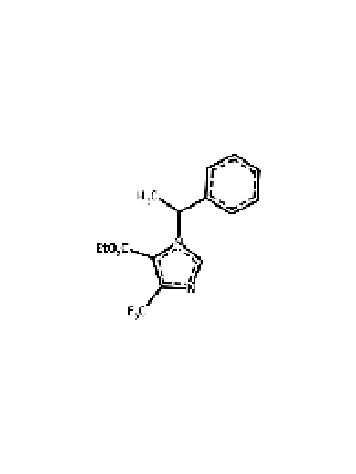 CCOC(=O)c1c(C(F)(F)F)ncn1C(C)c1ccccc1